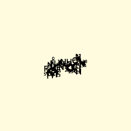 Cn1nc(C(C)(F)C(F)(F)F)c(C(F)(F)F)c1-c1c[nH]c(-c2ccc(Cl)c(C(=O)NC3(C#N)CC3)c2)n1